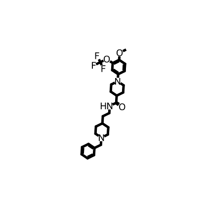 COc1ccc(N2CCC(C(=O)NCCC3CCN(Cc4ccccc4)CC3)CC2)cc1OC(F)(F)F